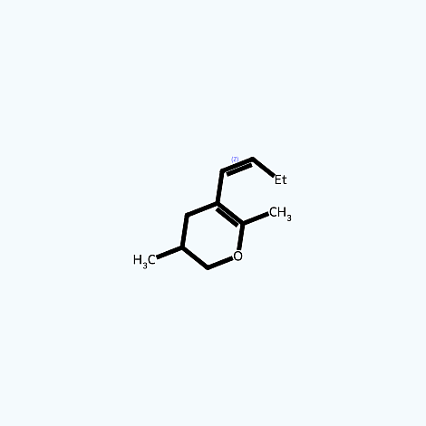 CC/C=C\C1=C(C)OCC(C)C1